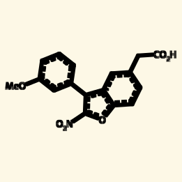 COc1cccc(-c2c([N+](=O)[O-])oc3ccc(CC(=O)O)cc23)c1